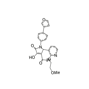 COCCOc1ncccc1C1C(C(=O)C(C)C)=C(O)C(=O)N1c1ccc(-c2ccoc2)cc1